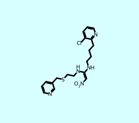 O=[N+]([O-])C=C(NCCCCc1ncccc1Cl)NCCSCc1cccnc1